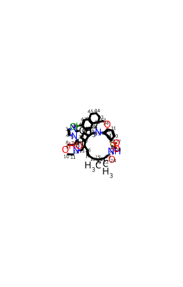 Cc1nccn1CC1COCCN1C[C@]1(O)/C=C/C[C@H](C)[C@@H](C)C(=O)NS(=O)(=O)c2ccc3c(c2)N(C[C@@H]2CC[C@H]21)C[C@@]1(CCCc2cc(Cl)ccc21)CO3